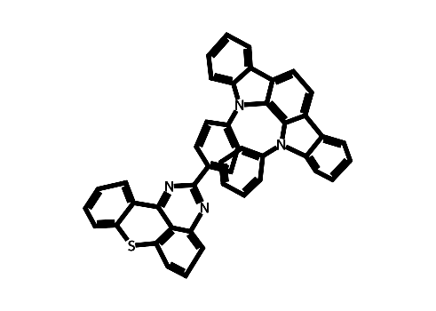 c1ccc(-n2c3ccccc3c3ccc4c5ccccc5n(-c5ccc(-c6nc7c8c(cccc8n6)Sc6ccccc6-7)cc5)c4c32)cc1